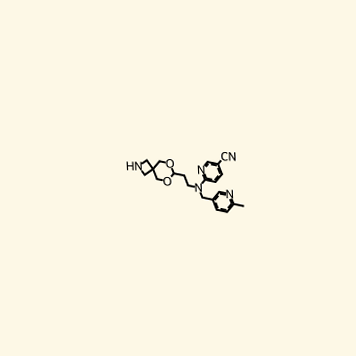 Cc1ccc(CN(CCC2OCC3(CNC3)CO2)c2ccc(C#N)cn2)cn1